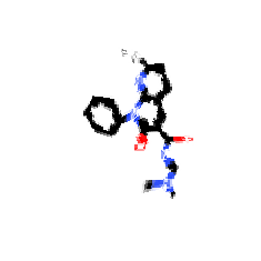 CN(C)C=NC(=O)c1[c]c2ccc(C(F)(F)F)nc2n(-c2ccccc2)c1=O